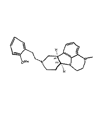 COc1ccccc1CCN1CC[C@H]2[C@@H](C1)c1cccc3c1N2CCN3C